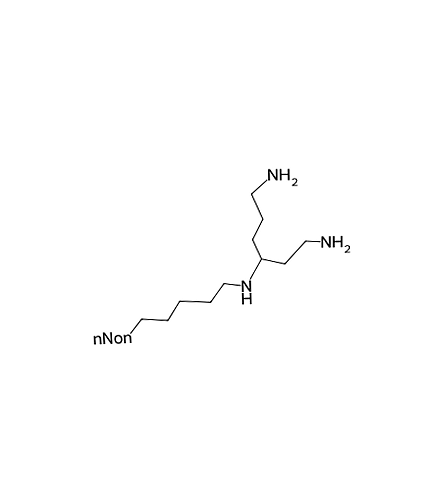 CCCCCCCCCCCCCCNC(CCN)CCCN